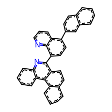 c1ccc2cc(-c3ccc(-c4nc5ccccc5c5c4ccc4ccccc45)c4ncccc34)ccc2c1